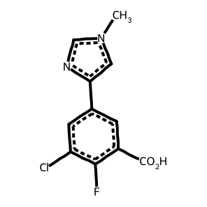 Cn1cnc(-c2cc(Cl)c(F)c(C(=O)O)c2)c1